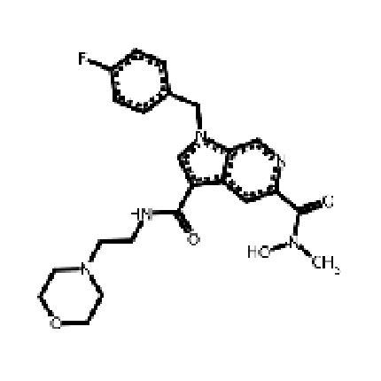 CN(O)C(=O)c1cc2c(C(=O)NCCN3CCOCC3)cn(Cc3ccc(F)cc3)c2cn1